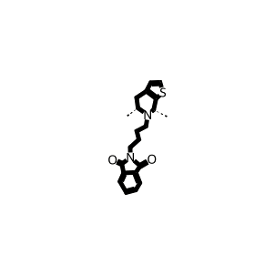 C[C@@H]1Cc2ccsc2[C@H](C)N1CCCCN1C(=O)c2ccccc2C1=O